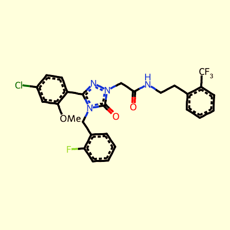 COc1cc(Cl)ccc1-c1nn(CC(=O)NCCc2ccccc2C(F)(F)F)c(=O)n1Cc1ccccc1F